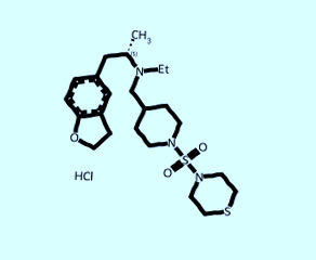 CCN(CC1CCN(S(=O)(=O)N2CCSCC2)CC1)[C@@H](C)Cc1ccc2c(c1)CCO2.Cl